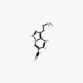 CCCc1cnn2cc(C#N)cnc12